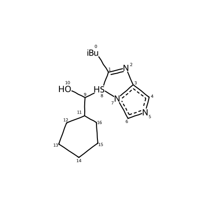 CCC(C)C1=Nc2cncn2[SH]1C(O)C1CCCCC1